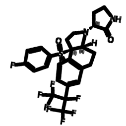 O=C1NCC[C@H]1N1CC[C@@]2(S(=O)(=O)c3ccc(F)cc3)c3ccc(C(F)(C(F)(F)F)C(F)(F)F)cc3CC[C@@H]12